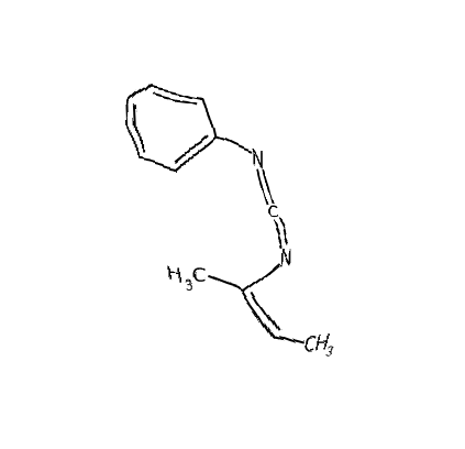 C/C=C(/C)N=C=Nc1ccccc1